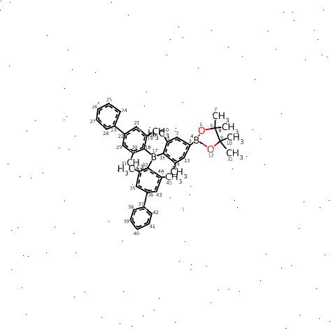 Cc1cc(B2OC(C)(C)C(C)(C)O2)cc(C)c1B(c1c(C)cc(-c2ccccc2)cc1C)c1c(C)cc(-c2ccccc2)cc1C